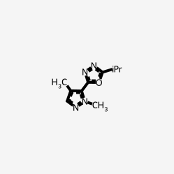 Cc1cnn(C)c1-c1nnc(C(C)C)o1